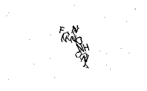 CN(C)CCN(Cc1ccc(F)cn1)C(=O)CNc1cccc2c1CCN(CC1CC1)C2